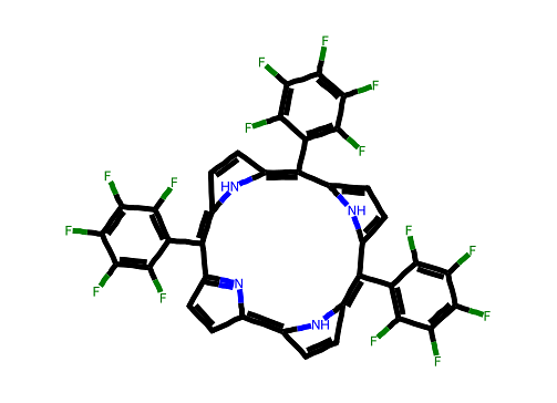 Fc1c(F)c(F)c(-c2c3nc(c4ccc([nH]4)c(-c4c(F)c(F)c(F)c(F)c4F)c4ccc([nH]4)c(-c4c(F)c(F)c(F)c(F)c4F)c4ccc2[nH]4)C=C3)c(F)c1F